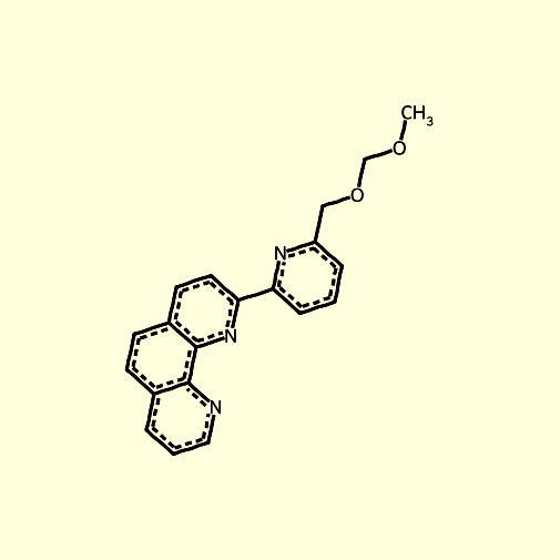 COCOCc1cccc(-c2ccc3ccc4cccnc4c3n2)n1